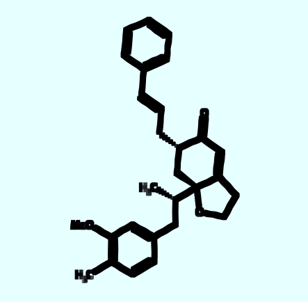 COc1cc(C[C@H](C)[C@]23C[C@H](C/C=C/c4ccccc4)C(=O)C=C2CCO3)ccc1C